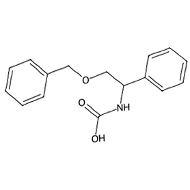 O=C(O)NC(COCc1ccccc1)c1ccccc1